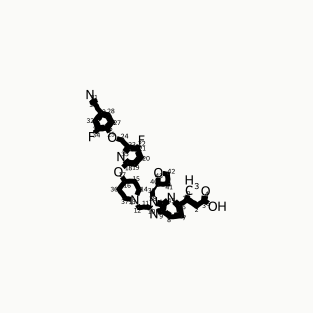 C/C(=C\C(=O)O)c1ccc2nc(CN3CCC(Oc4ccc(F)c(COc5ccc(C#N)cc5F)n4)CC3)n(C[C@@H]3CCO3)c2n1